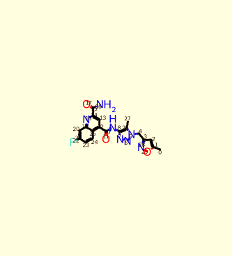 Cc1cc(Cn2nnc(NC(=O)c3cc(C(N)=O)nc4cc(F)ccc34)c2C)no1